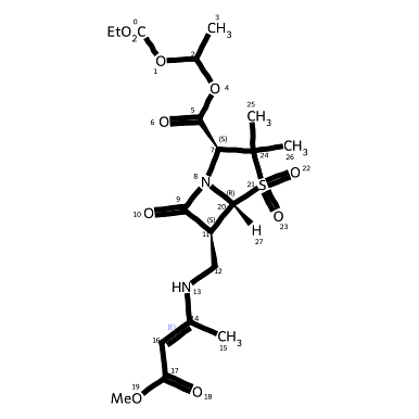 CCOC(=O)OC(C)OC(=O)[C@@H]1N2C(=O)[C@H](CN/C(C)=C/C(=O)OC)[C@H]2S(=O)(=O)C1(C)C